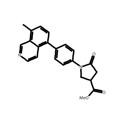 COC(=O)C1CC(=O)N(c2ccc(-c3ccc(C)c4cnccc34)cc2)C1